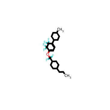 CCCC1CCC(C(F)(F)OC2=CC=C(C3CCC(C)CC3)C(F)(F)C2(F)F)CC1